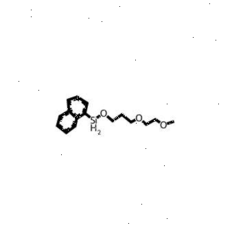 COCCOCCCO[SiH2]c1cccc2ccccc12